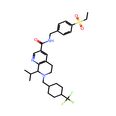 CCS(=O)(=O)c1ccc(CNC(=O)c2cnc3c(c2)CCN(CC2CCC(C(F)(F)F)CC2)C3C(C)C)cc1